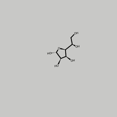 OC[C@@H](O)[C@@H]1O[C@@H](O)[C@H](O)[C@@H]1O